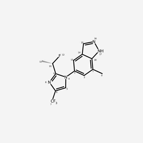 Cc1cc(-n2cc(C(F)(F)F)nc2[C@H](C)F)cc2cn[nH]c12